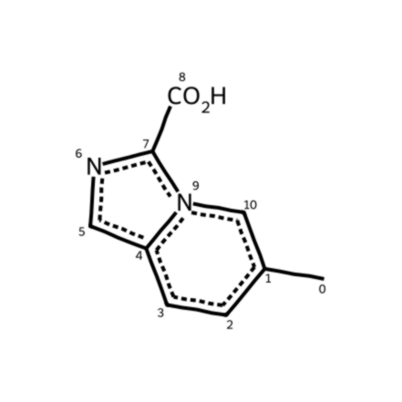 Cc1ccc2cnc(C(=O)O)n2c1